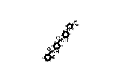 CN(C)C1CCN(c2ccc(NC(=O)c3ccc(NC(=O)c4ccccc4F)cc3)cc2)C1